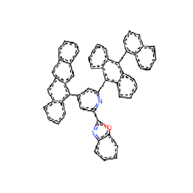 c1ccc2cc3c(-c4cc(-c5nc6ccccc6o5)nc(-c5c6ccccc6c(-c6cccc7ccccc67)c6ccccc56)c4)c4ccccc4cc3cc2c1